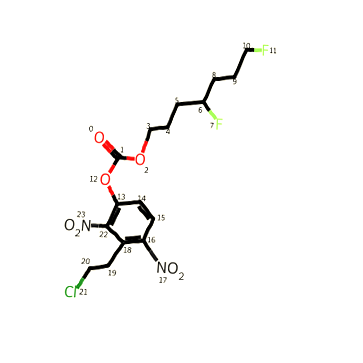 O=C(OCCCC(F)CCCF)Oc1ccc([N+](=O)[O-])c(CCCl)c1[N+](=O)[O-]